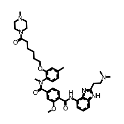 COc1cc(C(=O)N(C)c2ccc(C)cc2OCCCCCC(=O)N2CCN(C)CC2)ccc1C(=O)Nc1cccc2[nH]c(CCN(C)C)nc12